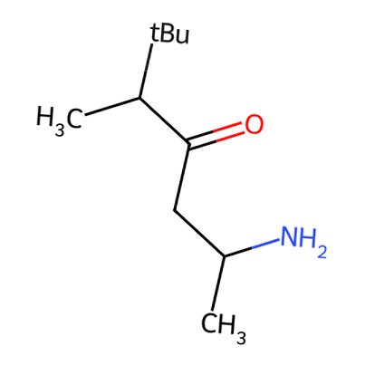 CC(N)CC(=O)C(C)C(C)(C)C